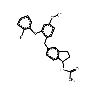 O=C(NC1CCc2cc(Cc3ccc(OC(F)(F)F)cc3Sc3ccccc3F)ccc21)C(F)(F)F